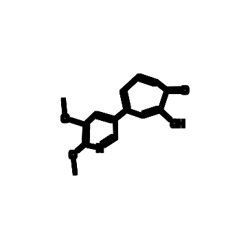 COc1cc(-c2cccc(=O)c(O)c2)cnc1OC